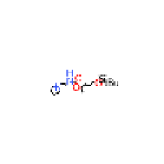 CC(CCCO[Si](C)(C)C(C)(C)C)OC(=O)NCCN1CCCC1